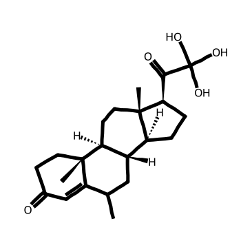 CC1C[C@H]2[C@@H]3CC[C@H](C(=O)C(O)(O)O)[C@@]3(C)CC[C@@H]2[C@@]2(C)CCC(=O)C=C12